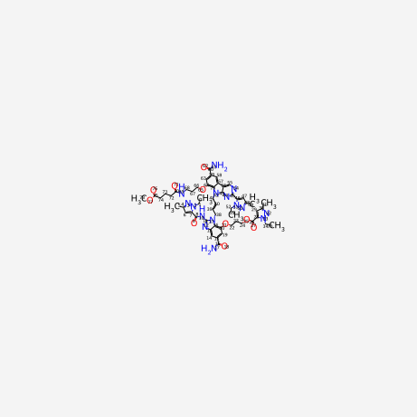 CCn1nc(C)cc1C(=O)Nc1nc2cc(C(N)=O)cc(OCCCOC(=O)c3cc(C)nn3CC)c2n1CC=CCn1c2nc(-c3cc(C)nn3CC)ncc2c2cc(C(N)=O)cc(OCCCNC(=O)CCCC(=O)OC)c21